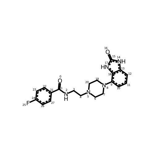 O=C(NCCN1CCN(c2cccc3[nH]c(=O)[nH]c23)CC1)c1ccc(F)cc1